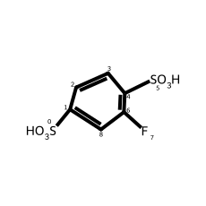 O=S(=O)(O)c1ccc(S(=O)(=O)O)c(F)c1